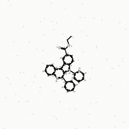 CCOC(=O)c1ccc2c(c1)c1c3ccccc3nc(-c3ccccc3)c1n2-c1ccccn1